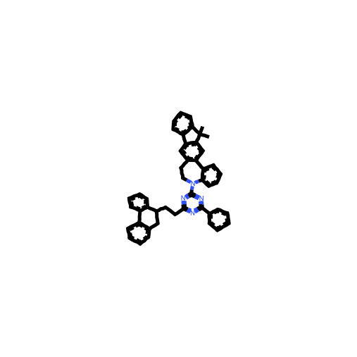 CC1(C)c2ccccc2-c2cc3c(cc21)-c1ccccc1N(c1nc(CCC2Cc4ccccc4-c4ccccc42)nc(-c2ccccc2)n1)CC3